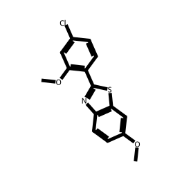 COc1ccc2nc(-c3ccc(Cl)cc3OC)sc2c1